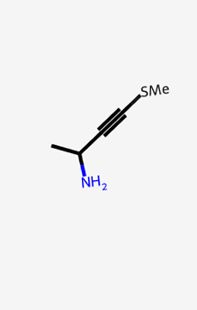 CSC#CC(C)N